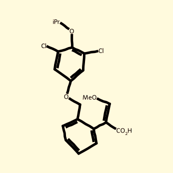 CO/C=C(/C(=O)O)c1ccccc1COc1cc(Cl)c(OC(C)C)c(Cl)c1